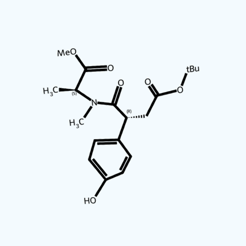 COC(=O)[C@H](C)N(C)C(=O)[C@H](CC(=O)OC(C)(C)C)c1ccc(O)cc1